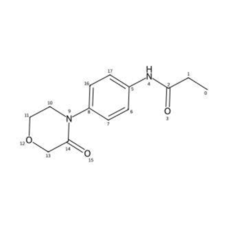 CCC(=O)Nc1ccc(N2CCOCC2=O)cc1